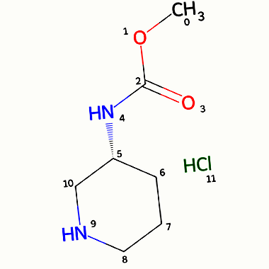 COC(=O)N[C@@H]1CCCNC1.Cl